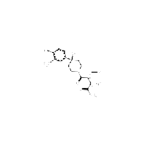 CCC[C@H](C(N)=O)[C@@H](CC(C)C)C(=O)N1CCC(O)(c2ccc(Cl)c(C(F)(F)F)c2)CC1